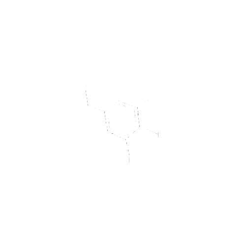 Fc1cc(CBr)cc(F)c1I